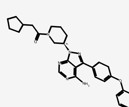 Nc1ncnc2c1c(C1=CC=C(Oc3ccccc3)CC1)nn2[C@@H]1CCCN(C(=O)CC2CCCC2)C1